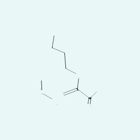 C=C(C)C(=O)OCCCF.C[SiH2]C